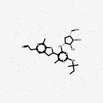 CCC(C)(C)Nc1nc(C)c(C2Cc3cc(CC=O)nc(C)c3O2)c(N[C@@H]2C[C@H](CO)[C@@H](O)[C@H]2O)n1